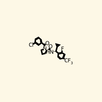 O=C(N[C@@H](c1ccc(C(F)(F)F)cc1F)C1CC1)[C@H]1CCCN1C(=O)c1cccc(Cl)c1